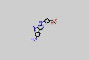 CNc1nc(Nc2ccc(CS(C)(=O)=O)cc2)ncc1-c1ccc(N)cc1